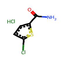 Cl.NC(=O)c1ccc(Cl)s1